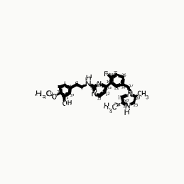 COc1ccc(CCNc2nccc(-c3cc(CN4C[C@@H](C)NC[C@@H]4C)ccc3F)n2)cc1O